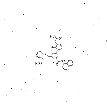 NC(=O)Cc1cccc(-c2cc(COc3ccccc3CC(=O)O)cc(C(=O)N[C@H]3CCOc4ccccc43)c2)c1F